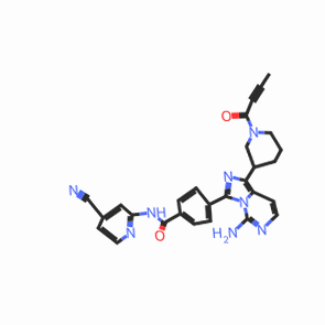 CC#CC(=O)N1CCCC(c2nc(-c3ccc(C(=O)Nc4cc(C#N)ccn4)cc3)n3c(N)nccc23)C1